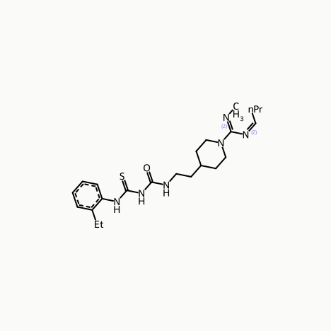 CCC/C=N\C(=N/C)N1CCC(CCNC(=O)NC(=S)Nc2ccccc2CC)CC1